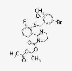 COc1ccc(Br)cc1CSc1c(F)cccc1C1=NCCCN1C(=O)OC(C)OC(C)=O